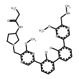 CCC(=O)NC1CCN(Cc2ncc(-c3cccc(-c4cccc(-c5cnc(CNC)c(OC)n5)c4Cl)c3Cl)nc2OC)C1